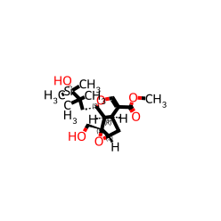 COC(=O)C1=CO[C@@H](CC(C)(C)[Si](C)(C)O)[C@H]2[C@@H]1C[C@@H]1O[C@]21CO